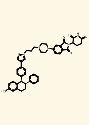 O=C1CCC(N2C(=O)c3ccc(N4CCN(CCCn5cc(-c6ccc([C@@H]7c8ccc(O)cc8CC[C@@H]7c7ccccc7)cc6)cn5)CC4)cc3C2=O)C(=O)N1